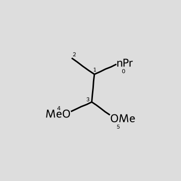 CCCC(C)C(OC)OC